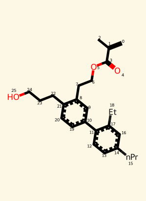 C=C(C)C(=O)OCCc1cc(-c2ccc(CCC)cc2CC)ccc1CCCO